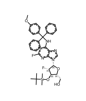 COc1ccc(C(Nc2nc(F)nc3c2ncn3[C@@H]2O[C@H](CO)[C@@H](O[Si](C)(C)C(C)(C)C)[C@@H]2F)(c2ccccc2)c2ccccc2)cc1